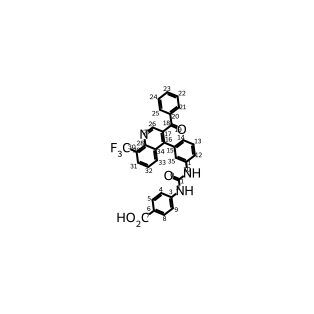 O=C(Nc1ccc(C(=O)O)cc1)Nc1cccc(-c2c(C(=O)c3ccccc3)cnc3c(C(F)(F)F)cccc23)c1